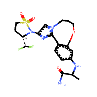 CC(Nc1ccc2c(c1)OCCn1cc(N3[C@H](C(F)F)CCS3(=O)=O)nc1-2)C(N)=O